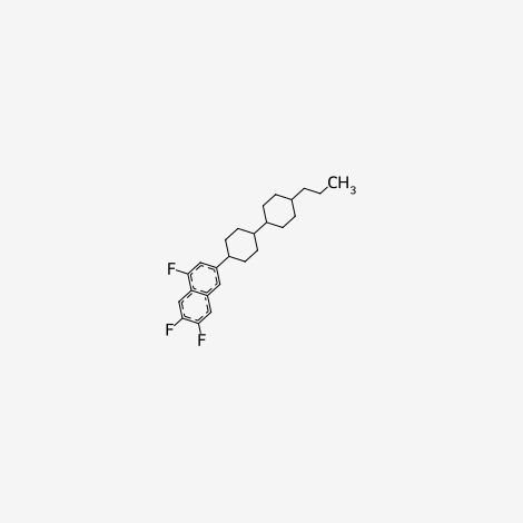 CCCC1CCC(C2CCC(c3cc(F)c4cc(F)c(F)cc4c3)CC2)CC1